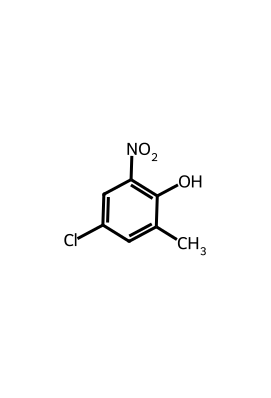 Cc1cc(Cl)cc([N+](=O)[O-])c1O